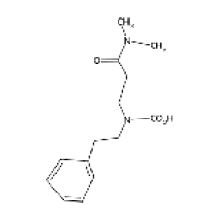 CN(C)C(=O)CCN(CCc1ccccc1)C(=O)O